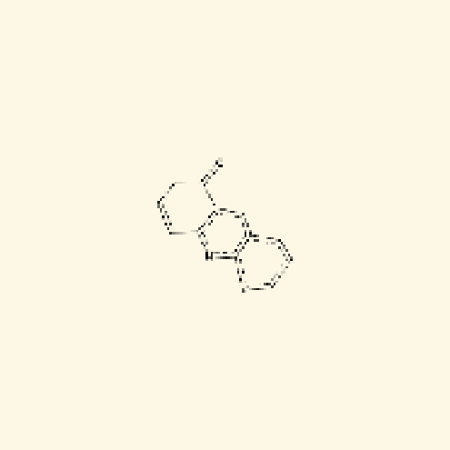 O=C1CC=Cc2nc3ccccc3cc21